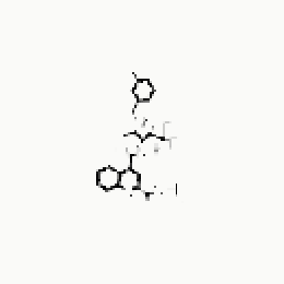 Cc1cccc(Cn2nc(C(F)(F)F)c(NC(=O)c3cc(C(N)=O)nc4ccccc34)c2C)c1